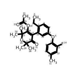 CCc1ccc(Oc2ccc(C)cc2F)cc1C1=C(OC(C)=O)C(C)(C)OC(C)(C)C1=O